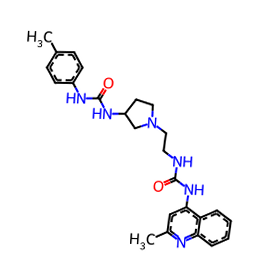 Cc1ccc(NC(=O)NC2CCN(CCNC(=O)Nc3cc(C)nc4ccccc34)C2)cc1